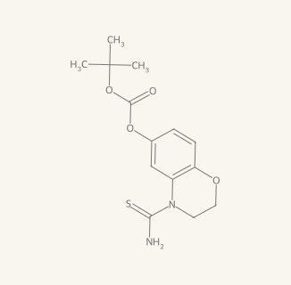 CC(C)(C)OC(=O)Oc1ccc2c(c1)N(C(N)=S)CCO2